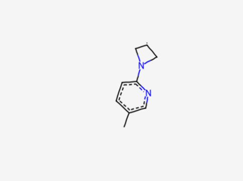 Cc1ccc(N2C[CH]C2)nc1